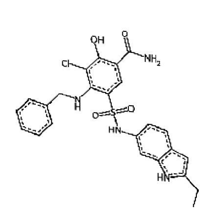 CCc1cc2ccc(NS(=O)(=O)c3cc(C(N)=O)c(O)c(Cl)c3NCc3ccccc3)cc2[nH]1